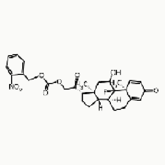 C[C@]12CC(O)[C@@]3(F)[C@@H](CCC4=CC(=O)C=C[C@@]43C)[C@@H]1CC[C@@H]2C(=O)COC(=O)OCc1ccccc1[N+](=O)[O-]